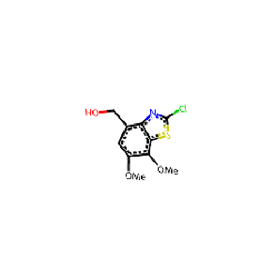 COc1cc(CO)c2nc(Cl)sc2c1OC